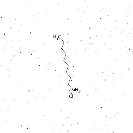 CCCCCCCCC[SiH2]Cl